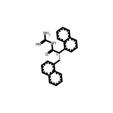 N=C(N)NC(=O)[C@@H](Cc1cccc2ccccc12)c1cccc2ccccc12